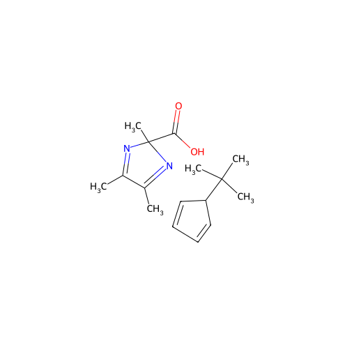 CC(C)(C)C1C=CC=C1.CC1=NC(C)(C(=O)O)N=C1C